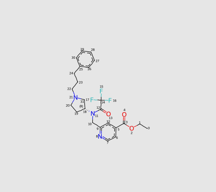 CCOC(=O)c1ccnc(CN(C(=O)C(F)(F)F)[C@@H]2CCN(CCCc3ccccc3)C2)c1